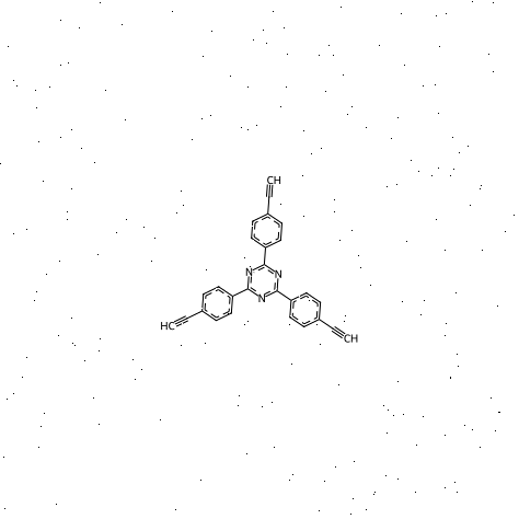 C#Cc1ccc(-c2nc(-c3ccc(C#C)cc3)nc(-c3ccc(C#C)cc3)n2)cc1